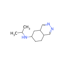 CC(C)NC1CCC2C=NN=CC2C1